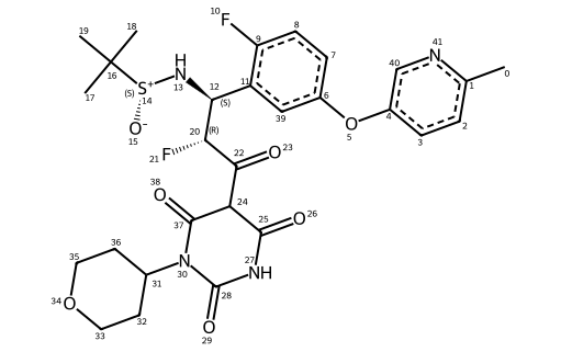 Cc1ccc(Oc2ccc(F)c([C@H](N[S@+]([O-])C(C)(C)C)[C@@H](F)C(=O)C3C(=O)NC(=O)N(C4CCOCC4)C3=O)c2)cn1